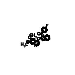 COc1cc2nccc(Oc3cc4ccccc4n3C(=O)c3ccc(F)cc3)c2cc1OC